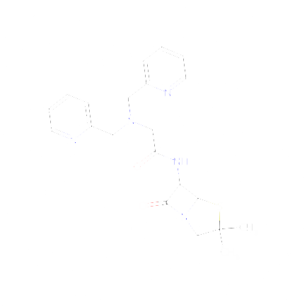 CC1(C)CN2C(=O)C(NC(=O)CN(Cc3ccccn3)Cc3ccccn3)C2S1